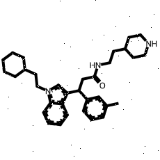 Cc1cccc(C(CC(=O)NCCC2CCNCC2)c2cn(CCC3CCCCC3)c3ccccc23)c1